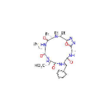 CCC1c2nnc(o2)[C@H](C)NC(=O)[C@@H](Cc2ccccc2)NC(=O)C(CC(=O)O)NC(=O)[C@H](CC(C)C)NC(=O)[C@H](CC)N1CC